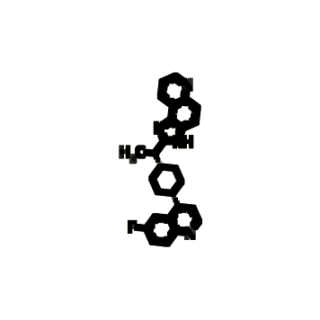 CC(c1nc2c(ccc3ncccc32)[nH]1)[C@H]1CC[C@@H](c2ccnc3ccc(F)cc32)CC1